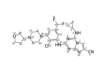 N#Cc1cn2c(NC3CC3)nc(Nc3cc(C(F)F)cc(N4CCN(C5CCOC5)CC4)c3Cl)nc2n1